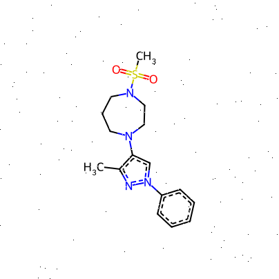 Cc1nn(-c2ccccc2)cc1N1CCCN(S(C)(=O)=O)CC1